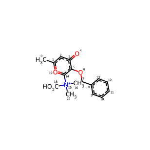 Cc1cc(=O)c(OCc2ccccc2)c([N+](C)(C)C(=O)O)o1